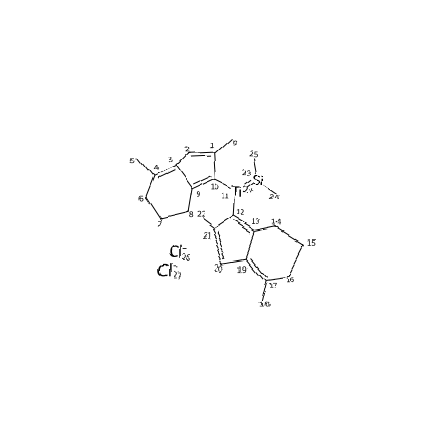 CC1=CC2=C(C)CCCC2=[C]1[Ti+2]([C]1=C2CCCC(C)=C2C=C1C)=[Si](C)C.[Cl-].[Cl-]